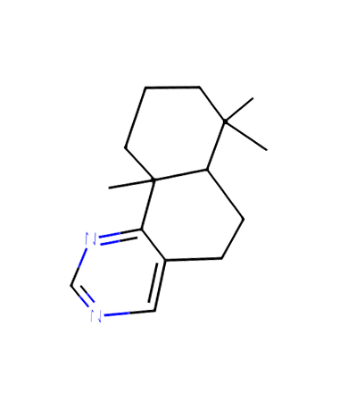 CC1(C)CCCC2(C)c3ncncc3CCC12